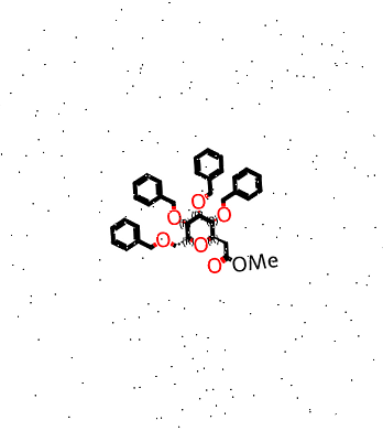 COC(=O)C[C@H]1O[C@H](COCc2ccccc2)[C@@H](OCc2ccccc2)[C@H](OCc2ccccc2)[C@@H]1OCc1ccccc1